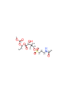 CCC(OC(=O)OC)OC(=O)[C@H](O)C(C)(C)COS(=O)(=O)CCCNC(C)=O